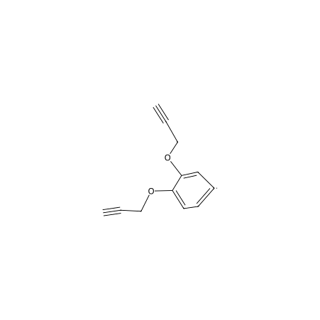 C#CCOc1c[c]ccc1OCC#C